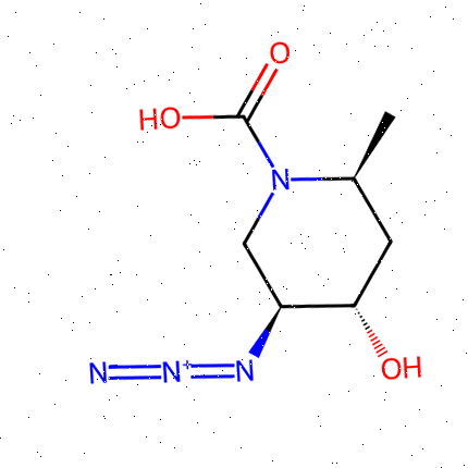 C[C@H]1C[C@H](O)[C@@H](N=[N+]=[N-])CN1C(=O)O